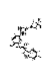 Cc1ccc(-n2ncc(C3CC(F)(F)C3)n2)cc1NC(=O)c1cnn2ccccc12